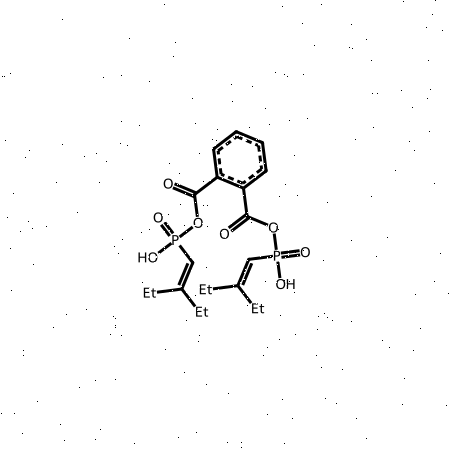 CCC(=CP(=O)(O)OC(=O)c1ccccc1C(=O)OP(=O)(O)C=C(CC)CC)CC